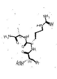 CC(=O)N[C@H](C(=O)N[C@@H](CCCNC(=N)N)C(=O)N[C@@H](C)C(N)=O)C(C)C